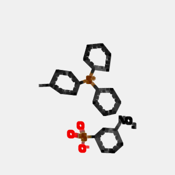 Cc1ccc([S+](c2ccccc2)c2ccccc2)cc1.O=[N+]([O-])c1cccc(S(=O)(=O)[O-])c1